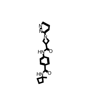 CC1(NC(=O)c2ccc(NC(=O)C3CN(c4cccnn4)C3)cc2)CCC1